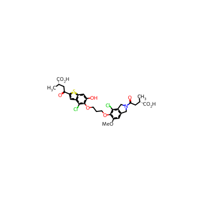 COc1cc2c(c(Cl)c1OCCCOc1c(O)cc3sc(C(=O)C[C@H](C)C(=O)O)cc3c1Cl)CN(C(=O)C[C@H](C)C(=O)O)C2